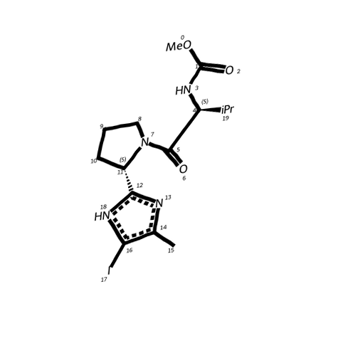 COC(=O)N[C@H](C(=O)N1CCC[C@H]1c1nc(C)c(I)[nH]1)C(C)C